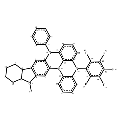 CN1c2cc3c(cc2C2CCCCC21)N(c1ccccc1)c1cccc2c1B3c1ccccc1N2c1c(F)c(F)c(F)c(F)c1F